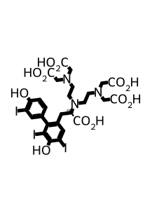 O=C(O)CN(CCN(CCN(CC(=O)O)CC(=O)O)[C@@H](Cc1cc(I)c(O)c(I)c1-c1ccc(O)c(I)c1)C(=O)O)CC(=O)O